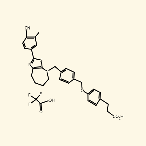 Cc1cc(-c2nc3c(s2)N(Cc2ccc(COc4ccc(CCC(=O)O)cc4)cc2)CCCC3)ccc1C#N.O=C(O)C(F)(F)F